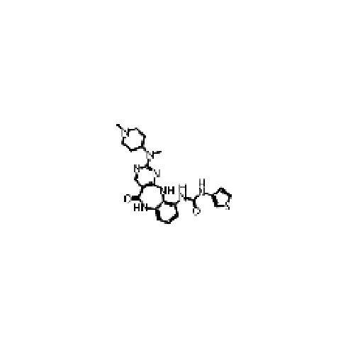 CN1CCC(N(C)c2ncc3c(n2)Nc2c(NC(=O)Nc4ccsc4)cccc2NC3=O)CC1